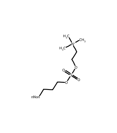 CCCCCCCCCCCCOS(=O)(=O)OCC[N+](C)(C)C